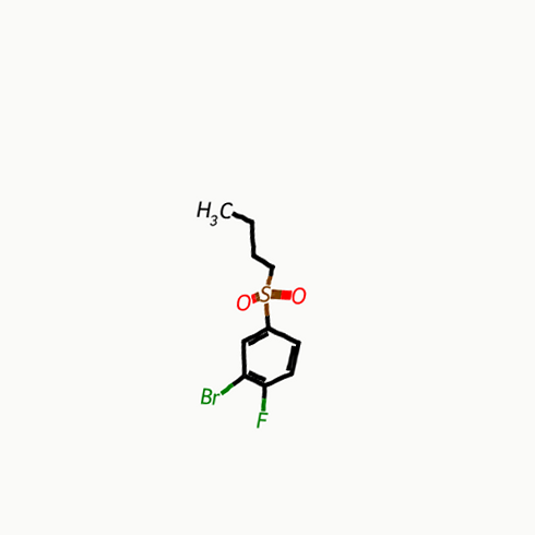 CCCCS(=O)(=O)c1ccc(F)c(Br)c1